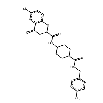 O=C1CC(C(=O)NC2CCC(C(=O)NCc3ccc(C(F)(F)F)cn3)CC2)Oc2ccc(Cl)cc21